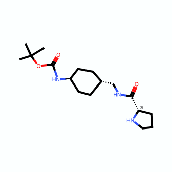 CC(C)(C)OC(=O)N[C@H]1CC[C@H](CNC(=O)[C@@H]2CCCN2)CC1